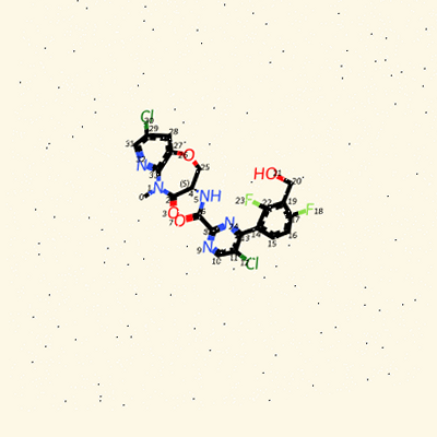 CN1C(=O)[C@@H](NC(=O)c2ncc(Cl)c(-c3ccc(F)c(CO)c3F)n2)COc2cc(Cl)cnc21